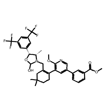 COC(=O)c1cccc(-c2cnc(OC)c(C3=C(CN4C(O)O[C@H](c5cc(C(F)(F)F)cc(C(F)(F)F)c5)[C@@H]4C)CC(C)(C)CC3)c2)c1